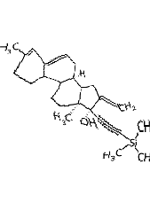 C=C1CC2[C@@H]3CC=C4C=C(C)CCC4C3CC[C@]2(C)[C@]1(O)C#C[Si](C)(C)C